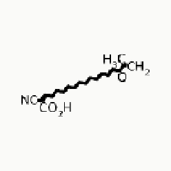 C=C(C)C(=O)CCCCCCCCCCCCC=C(C#N)C(=O)O